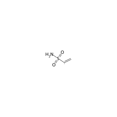 C=[C]S(N)(=O)=O